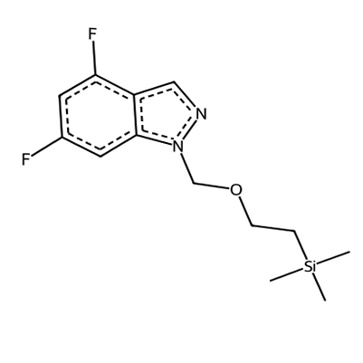 C[Si](C)(C)CCOCn1ncc2c(F)cc(F)cc21